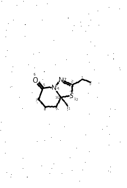 CCC1=NN2C(=O)CCCC2(C)S1